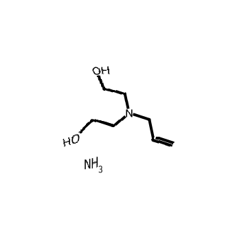 C=CCN(CCO)CCO.N